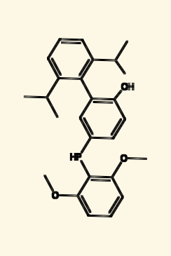 COc1cccc(OC)c1Pc1ccc(O)c(-c2c(C(C)C)cccc2C(C)C)c1